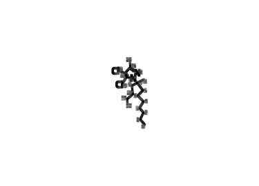 CCCCCCCC(C)(CCCC)n1nc(C)c(Cl)c1Cl